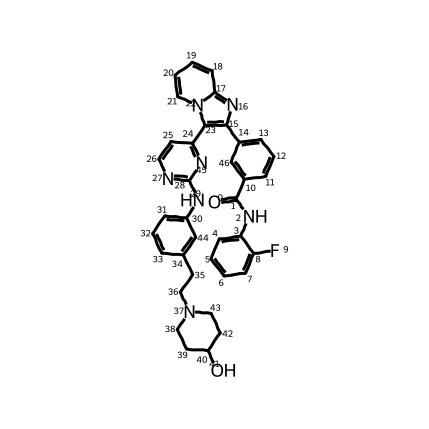 O=C(Nc1ccccc1F)c1cccc(-c2nc3ccccn3c2-c2ccnc(Nc3cccc(CCN4CCC(O)CC4)c3)n2)c1